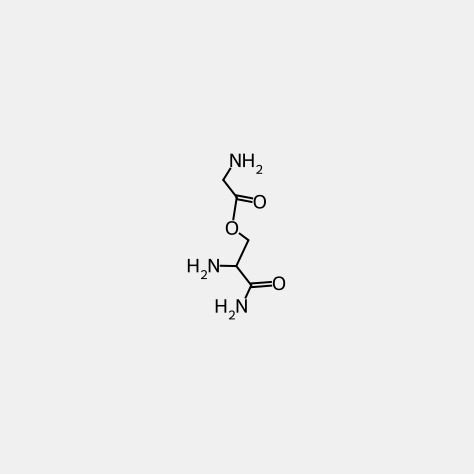 NCC(=O)OCC(N)C(N)=O